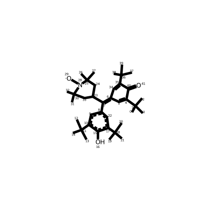 CC(C)(C)C1=CC(=C(c2cc(C(C)(C)C)c(O)c(C(C)(C)C)c2)C2CC(C)(C)N([O])C(C)(C)C2)C=C(C(C)(C)C)C1=O